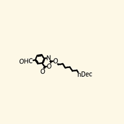 CCCCCCCCCCCCCCCCOc1nc2ccc(C=O)cc2c(=O)o1